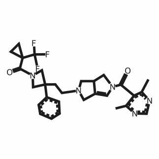 Cc1ncnc(C)c1C(=O)N1C=C2CN(CCC3(c4ccccc4)CN(C(=O)C4(C(F)(F)F)CC4)C3)CC2C1